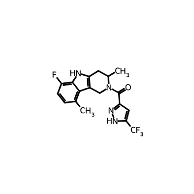 Cc1ccc(F)c2[nH]c3c(c12)CN(C(=O)c1cc(C(F)(F)F)[nH]n1)C(C)C3